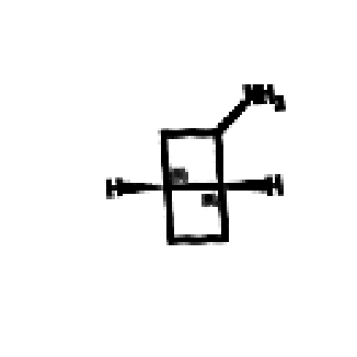 NC1C[C@@H]2CC[C@@H]12